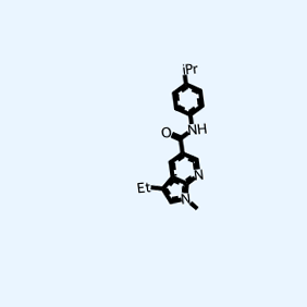 CCc1cn(C)c2ncc(C(=O)Nc3ccc(C(C)C)cc3)cc12